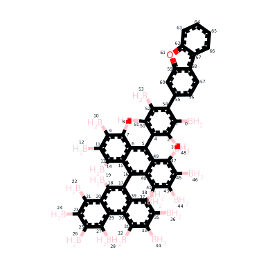 Bc1c(B)c(-c2c3c(B)c(B)c(B)c(B)c3c(-c3c(B)c4c(B)c(B)c(B)c(B)c4c4c(B)c(B)c(B)c(B)c34)c3c(B)c(B)c(B)c(B)c23)c(B)c(B)c1-c1ccc2c(c1)oc1ccccc12